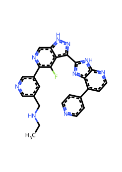 CCNCc1cncc(-c2ncc3[nH]nc(-c4nc5c(-c6ccncc6)ccnc5[nH]4)c3c2F)c1